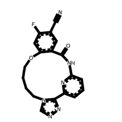 N#Cc1cc2c(cc1F)OCCCCn1cnnc1-c1cccc(n1)NC2=O